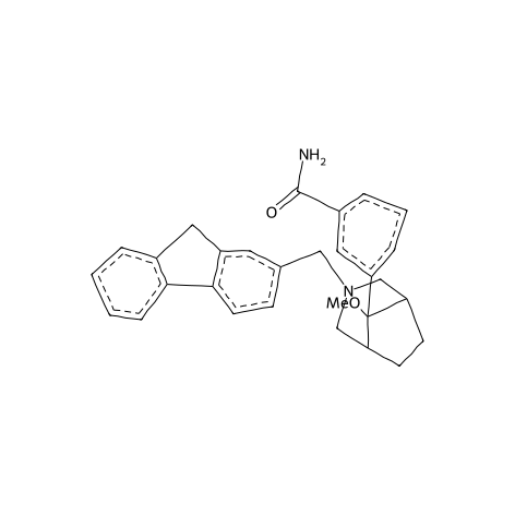 COC1(c2cccc(C(N)=O)c2)C2CCC1CN(Cc1ccc3c(c1)Cc1ccccc1-3)C2